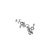 O=C(c1cc(F)ccc1-c1ncccn1)N1CCCC(Oc2ncc(C(F)(F)F)cc2F)C1